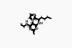 CCCCC1Nc2nc(C)nc(NCC)c2-n2ccnc21